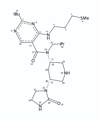 CSCCCNc1nc(C(C)(C)C)ncc1C(=O)N(CC(C)C)[C@@H]1CNC[C@H](N2CCNC2=O)C1